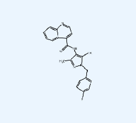 Cc1nn(Cc2ccc(F)cc2)c(C)c1NC(=O)c1ccnc2ccccc12